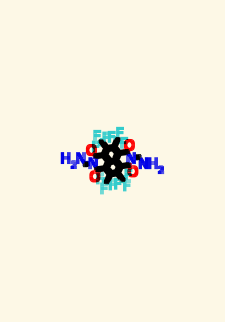 NCN1C(=O)c2c(C(F)(F)F)c(C(F)(F)F)c3c4c(c(C(F)(F)F)c(C(F)(F)F)c(c24)C1=O)C(=O)N(CN)C3=O